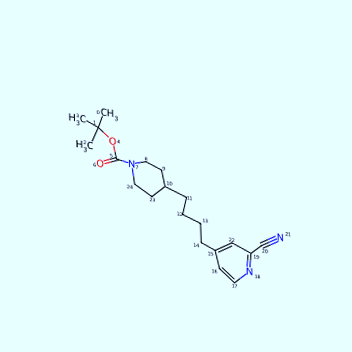 CC(C)(C)OC(=O)N1CCC(CCCCc2ccnc(C#N)c2)CC1